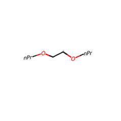 CCCO[CH]COCCC